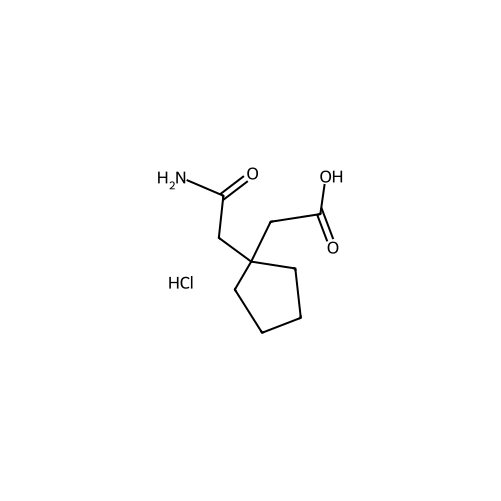 Cl.NC(=O)CC1(CC(=O)O)CCCC1